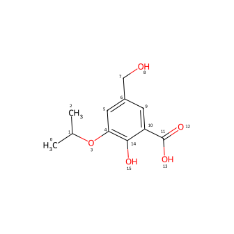 CC(C)Oc1cc(CO)cc(C(=O)O)c1O